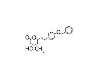 CC1(O)CC(=O)OC(CCc2ccc(OCc3ccccc3)cc2)C1